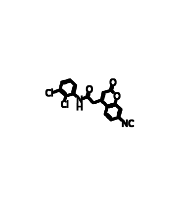 [C-]#[N+]c1ccc2c(CC(=O)Nc3cccc(Cl)c3Cl)cc(=O)oc2c1